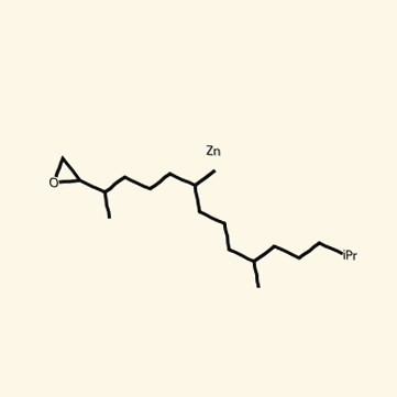 CC(C)CCCC(C)CCCC(C)CCCC(C)C1CO1.[Zn]